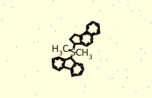 CS(C)(C1CCc2c1ccc1ccccc21)C1c2ccccc2-c2ccccc21